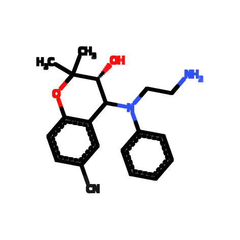 CC1(C)Oc2ccc(C#N)cc2C(N(CCN)c2ccccc2)[C@H]1O